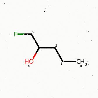 [CH2]CCC(O)CF